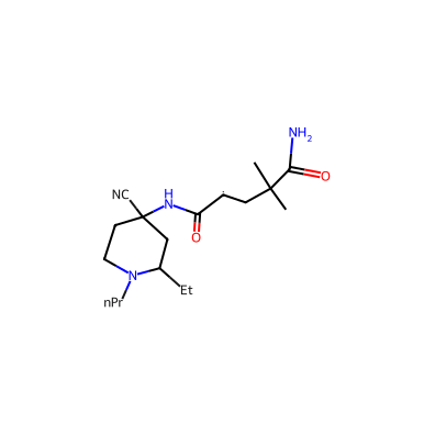 CCCN1CCC(C#N)(NC(=O)[CH]CC(C)(C)C(N)=O)CC1CC